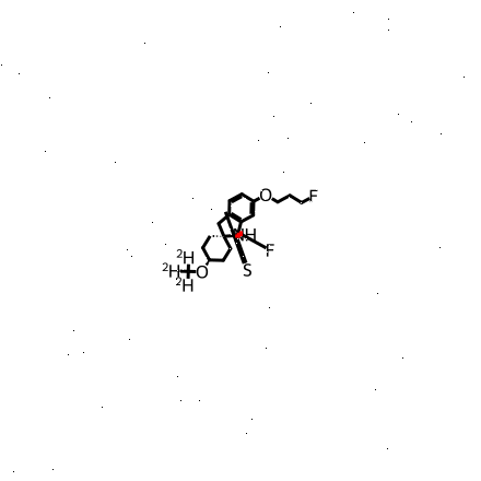 [2H]C([2H])([2H])O[C@H]1CC[C@]2(CC1)Cc1ccc(OCCCF)cc1C21C=C(F)C(=S)N1